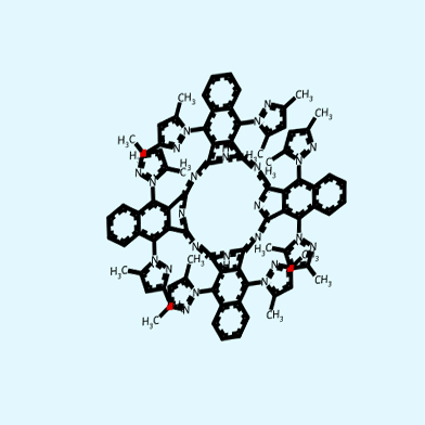 Cc1cc(C)n(-c2c3c(c(-n4nc(C)cc4C)c4ccccc24)-c2nc-3nc3[nH]c(nc4nc(nc5[nH]c(n2)c2c(-n6nc(C)cc6C)c6ccccc6c(-n6nc(C)cc6C)c52)-c2c-4c(-n4nc(C)cc4C)c4ccccc4c2-n2nc(C)cc2C)c2c(-n4nc(C)cc4C)c4ccccc4c(-n4nc(C)cc4C)c32)n1